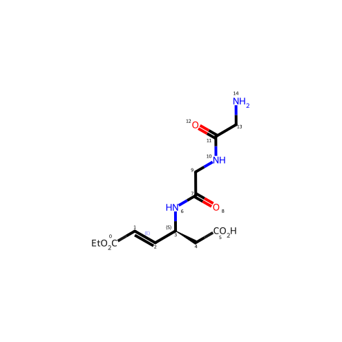 CCOC(=O)/C=C/[C@H](CC(=O)O)NC(=O)CNC(=O)CN